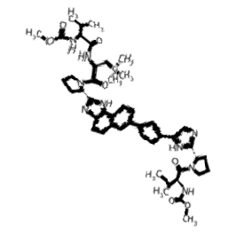 COC(=O)NC(C(=O)N[C@@H](C[Si](C)(C)C)C(=O)N1CCC[C@H]1c1nc2ccc3cc(-c4ccc(-c5cnc([C@@H]6CCCN6C(=O)[C@@H](NC(=O)OC)C(C)C)[nH]5)cc4)ccc3c2[nH]1)C(C)C